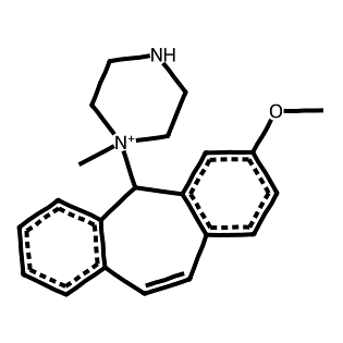 COc1ccc2c(c1)C([N+]1(C)CCNCC1)c1ccccc1C=C2